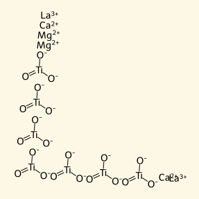 [Ca+2].[Ca+2].[La+3].[La+3].[Mg+2].[Mg+2].[O]=[Ti]([O-])[O-].[O]=[Ti]([O-])[O-].[O]=[Ti]([O-])[O-].[O]=[Ti]([O-])[O-].[O]=[Ti]([O-])[O-].[O]=[Ti]([O-])[O-].[O]=[Ti]([O-])[O-]